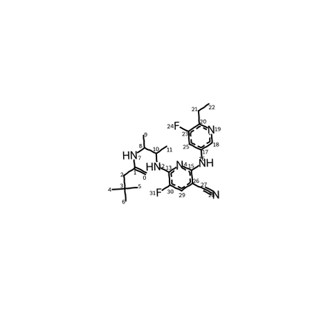 C=C(CC(C)(C)C)NC(C)C(C)Nc1nc(Nc2cnc(CC)c(F)c2)c(C#N)cc1F